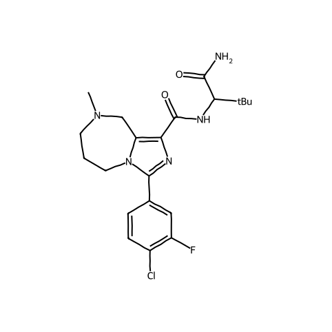 CN1CCCn2c(-c3ccc(Cl)c(F)c3)nc(C(=O)NC(C(N)=O)C(C)(C)C)c2C1